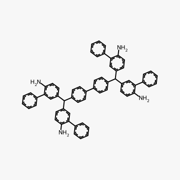 Nc1ccc(C(c2ccc(-c3ccc(C(c4ccc(N)c(-c5ccccc5)c4)c4ccc(N)c(-c5ccccc5)c4)cc3)cc2)c2ccc(N)c(-c3ccccc3)c2)cc1-c1ccccc1